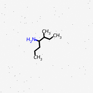 CCCC(N)C(C)CC